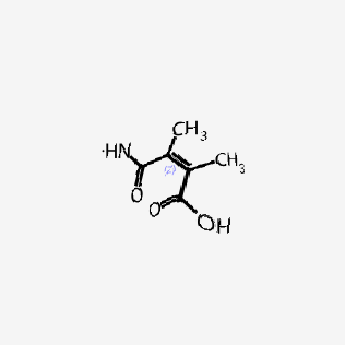 C/C(C([NH])=O)=C(\C)C(=O)O